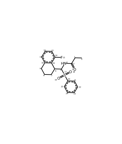 CCC(=O)NC(C1CCCc2cccc(F)c21)S(=O)(=O)c1ccccc1